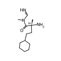 CN(C=N)C(=O)[C@](C)(N)CCC1CCCCC1